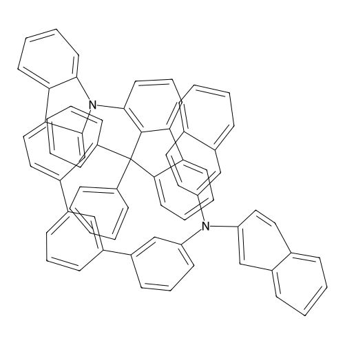 c1ccc(C2(c3ccccc3)c3ccccc3-c3cccc(-n4c5ccccc5c5ccc(-c6cccc(-c7cccc(N(c8ccc9ccccc9c8)c8ccc9ccccc9c8)c7)c6)cc54)c32)cc1